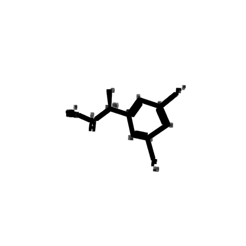 C[C@H](NC(C)(C)C)c1cc(F)cc(F)c1